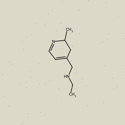 CCNCC1=CC=NC(C)C1